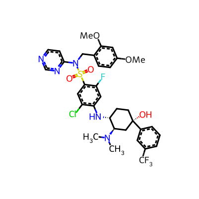 COc1ccc(CN(c2ccncn2)S(=O)(=O)c2cc(Cl)c(N[C@@H]3CC[C@@](O)(c4cccc(C(F)(F)F)c4)C[C@H]3N(C)C)cc2F)c(OC)c1